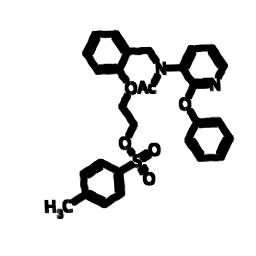 CC(=O)N(Cc1ccccc1OCCOS(=O)(=O)c1ccc(C)cc1)c1cccnc1Oc1ccccc1